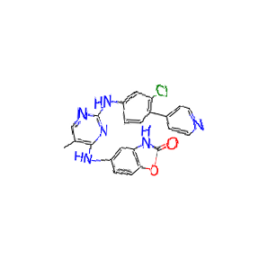 Cc1cnc(Nc2ccc(-c3ccncc3)c(Cl)c2)nc1Nc1ccc2oc(=O)[nH]c2c1